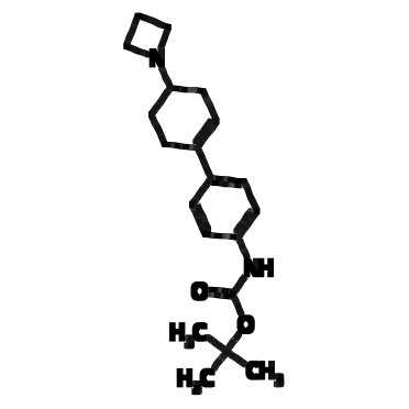 CC(C)(C)OC(=O)Nc1ccc(C2=CCC(N3CCC3)CC2)cc1